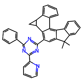 CC1(C)c2ccccc2-c2c1cc(-c1nc(-c3ccccc3)nc(-c3ccccn3)n1)c1c2-c2ccccc2C2CC12